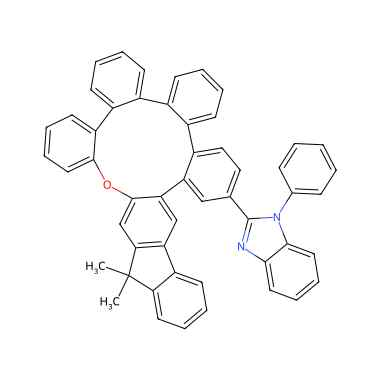 CC1(C)c2ccccc2-c2cc3c(cc21)Oc1ccccc1-c1ccccc1-c1ccccc1-c1ccc(-c2nc4ccccc4n2-c2ccccc2)cc1-3